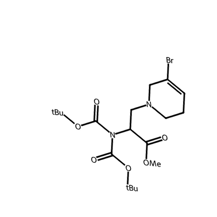 COC(=O)C(CN1CCC=C(Br)C1)N(C(=O)OC(C)(C)C)C(=O)OC(C)(C)C